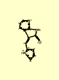 O=C1Nc2ncccc2C1=Cc1ccc[nH]1